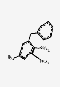 CC(C)(C)c1cc(Cc2ccccc2)c(N)c([N+](=O)[O-])c1